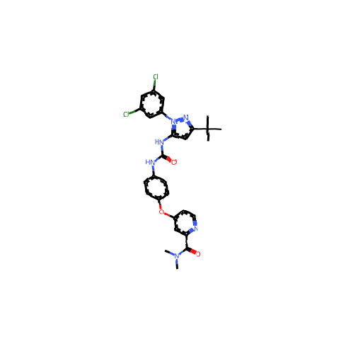 CN(C)C(=O)c1cc(Oc2ccc(NC(=O)Nc3cc(C(C)(C)C)nn3-c3cc(Cl)cc(Cl)c3)cc2)ccn1